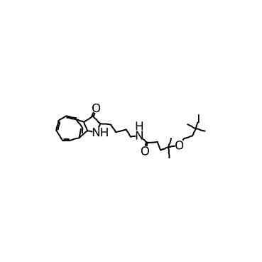 CC(C)(I)CCOC(C)(C)CCC(=O)NCCCCC1NC2C3=CC(=C/C=C\C=C/3)\C2C1=O